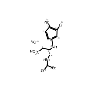 CCC(CC)NC[C@H](CC(=O)O)Nc1ccc(C#N)c(Cl)c1.Cl